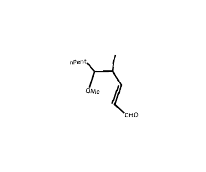 CCCCCC(OC)C(C)/C=C/C=O